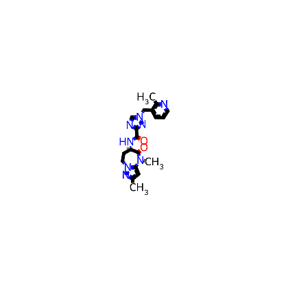 Cc1cc2n(n1)CC[C@H](NC(=O)c1ncn(Cc3cccnc3C)n1)C(=O)N2C